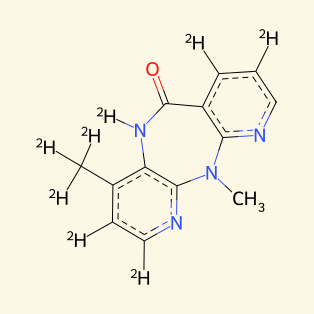 [2H]c1cnc2c(c1[2H])C(=O)N([2H])c1c(nc([2H])c([2H])c1C([2H])([2H])[2H])N2C